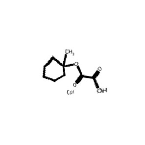 CC1(OC(=O)C(=O)O)CCCCC1.[CsH]